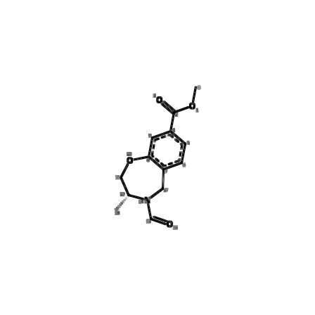 COC(=O)c1ccc2c(c1)OC[C@@H](C)N(C=O)C2